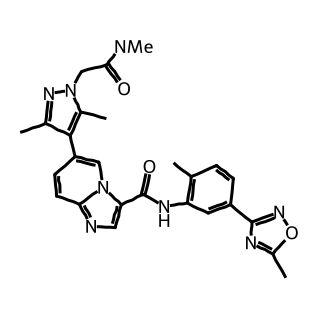 CNC(=O)Cn1nc(C)c(-c2ccc3ncc(C(=O)Nc4cc(-c5noc(C)n5)ccc4C)n3c2)c1C